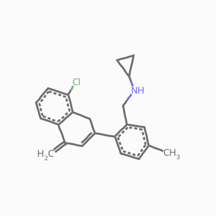 C=C1C=C(c2ccc(C)cc2CNC2CC2)Cc2c(Cl)cccc21